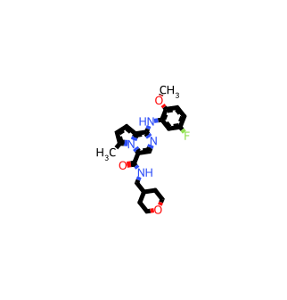 COc1ccc(F)cc1Nc1ncc(C(=O)NCC2CCOCC2)n2c(C)ccc12